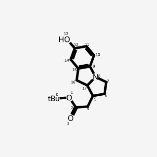 CC(C)(C)OC(=O)CC1CCN2c3ccc(O)cc3CC12